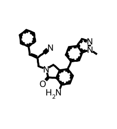 Cn1ncc2ccc(-c3ccc(N)c4c3CN(C/C(C#N)=C/c3ccccc3)C4=O)cc21